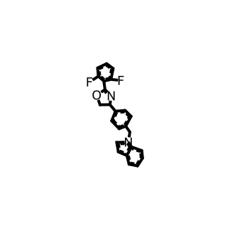 Fc1cccc(F)c1C1=NC(c2ccc(Cn3ccc4ccccc43)cc2)CO1